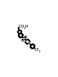 O=C(O)CC1Cc2ccc(S(=O)(=O)N3CCN(c4ccc(C(F)(F)F)cc4)CC3)cc2C1